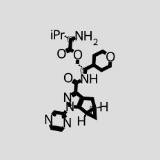 CC(C)[C@H](N)C(=O)OC[C@@H](NC(=O)c1nn(-c2cnccn2)c2c1C[C@H]1C[C@@H]21)C1CCOCC1